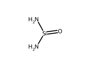 N[Si](N)=O